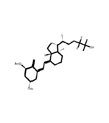 C=C1/C(=C\C=C2/CCC[C@]3(C)[C@@H]([C@H](C)CCC(F)(F)C(C)(C)O)CC[C@@H]23)C[C@H](OC(C)=O)C[C@H]1OC(C)=O